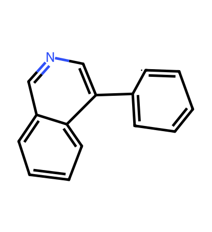 [c]1ccccc1-c1cncc2ccccc12